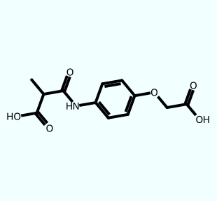 CC(C(=O)O)C(=O)Nc1ccc(OCC(=O)O)cc1